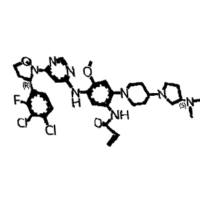 C=CC(=O)Nc1cc(Nc2cc(N3OCC[C@@H]3c3ccc(Cl)c(Cl)c3F)ncn2)c(OC)cc1N1CCC(N2CC[C@H](N(C)C)C2)CC1